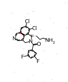 NCCC[C@@H](c1cccc(Cl)c1Cl)N(Cc1cccnc1)C(=O)c1cc(F)cc(F)c1